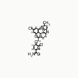 Cc1nn2c3c(nc2s1)CCN(C(=O)COc1ccc(C(N)=O)nc1Cl)C3c1ccc(Cl)cc1F